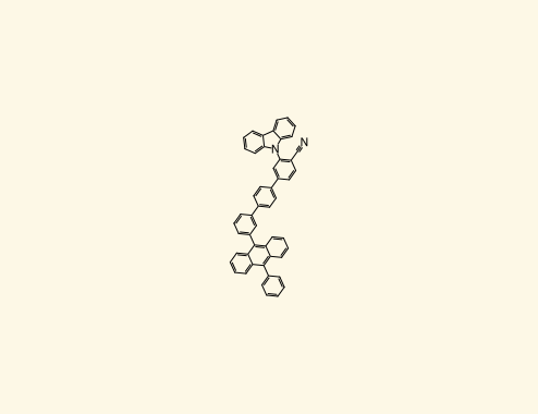 N#Cc1ccc(-c2ccc(-c3cccc(-c4c5ccccc5c(-c5ccccc5)c5ccccc45)c3)cc2)cc1-n1c2ccccc2c2ccccc21